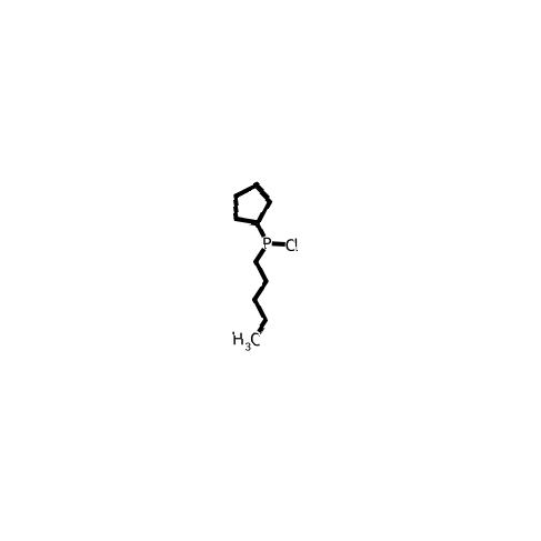 CCCCCP(Cl)C1CCCC1